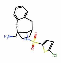 NCC12CCC(Cc3ccccc3C1)C2NS(=O)(=O)c1ccc(Cl)s1